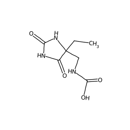 CCC1(CNC(=O)O)NC(=O)NC1=O